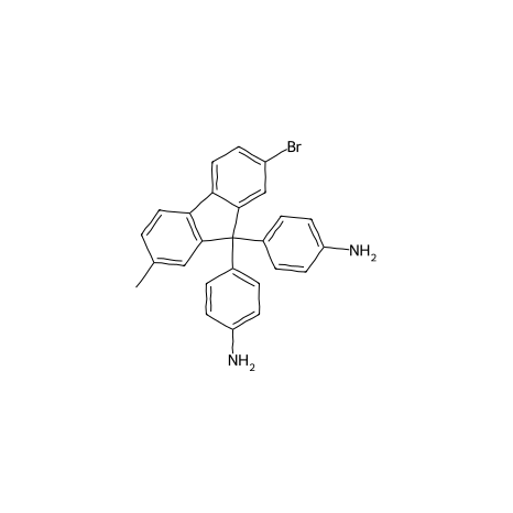 Cc1ccc2c(c1)C(c1ccc(N)cc1)(c1ccc(N)cc1)c1cc(Br)ccc1-2